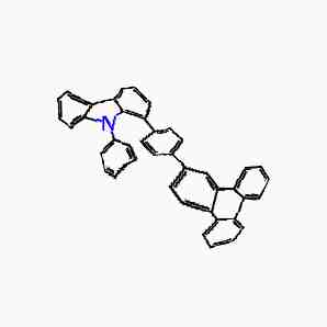 c1ccc(-n2c3ccccc3c3cccc(-c4ccc(-c5ccc6c7ccccc7c7ccccc7c6c5)cc4)c32)cc1